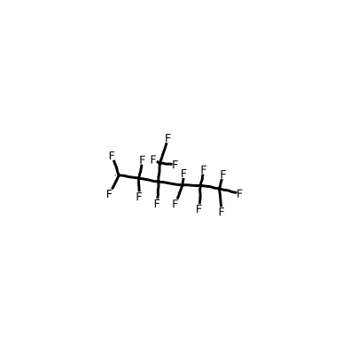 F[C](F)C(F)(F)C(F)(C(F)(F)F)C(F)(F)C(F)(F)C(F)(F)F